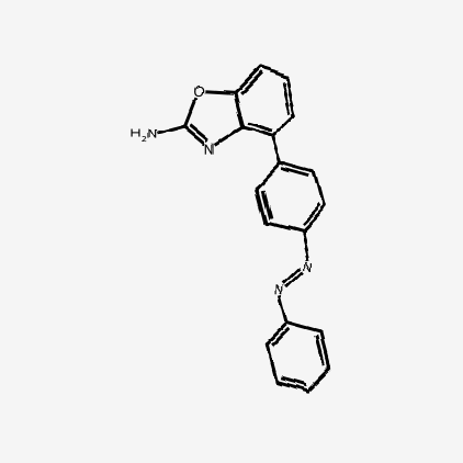 Nc1nc2c(-c3ccc(N=Nc4ccccc4)cc3)cccc2o1